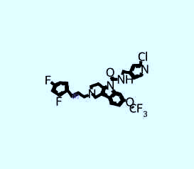 O=C(NCc1ccnc(Cl)c1)n1c2c(c3ccc(OC(F)(F)F)cc31)CN(C/C=C/c1ccc(F)cc1F)CC2